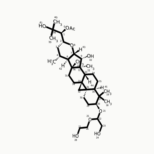 CC(=O)O[C@@H]([C@H]1C[C@@H](C)[C@H]2[C@H](O1)[C@H](O)[C@@]1(C)[C@@H]3CC[C@H]4C(C)(C)[C@@H](OC(CO)OCCO)CC[C@@]45C[C@@]35CC[C@]21C)C(C)(C)O